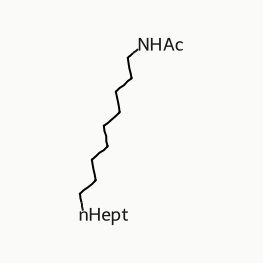 CCCCCCCCCCCCCCCCNC(C)=O